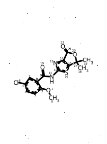 COc1ccc(Cl)cc1C(=O)Nc1nc2c(s1)C(C)(C)OC2=O